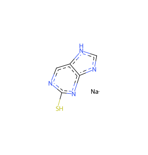 Sc1ncc2[nH]cnc2n1.[Na]